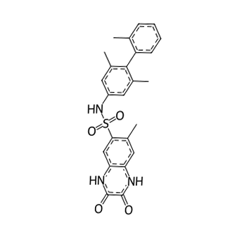 Cc1ccccc1-c1c(C)cc(NS(=O)(=O)c2cc3[nH]c(=O)c(=O)[nH]c3cc2C)cc1C